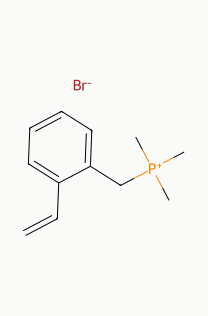 C=Cc1ccccc1C[P+](C)(C)C.[Br-]